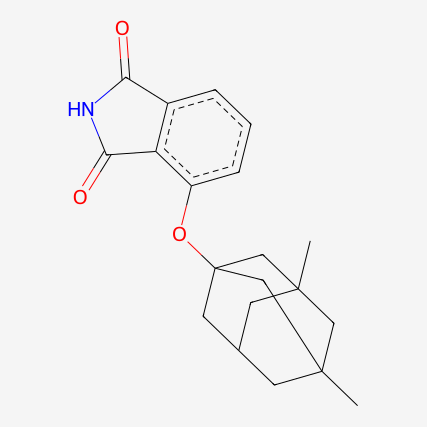 CC12CC3CC(C)(C1)CC(Oc1cccc4c1C(=O)NC4=O)(C3)C2